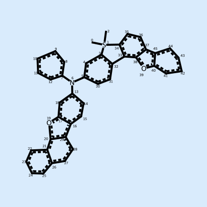 CS1(C)c2cc(N(c3ccccc3)c3ccc4c(c3)oc3c5ccccc5ccc43)ccc2-c2c1ccc1c2oc2ccccc21